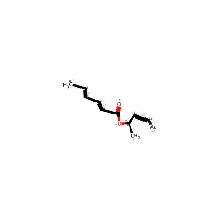 C/C=C/C=C/C(=O)O[C@H](C)/C=C\C(C)=O